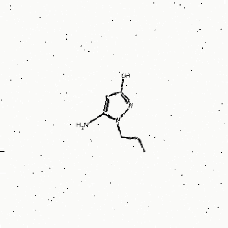 CCCn1nc(O)cc1N